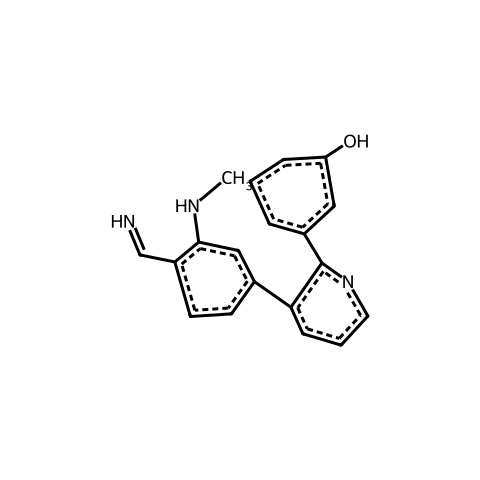 CNc1cc(-c2cccnc2-c2cccc(O)c2)ccc1C=N